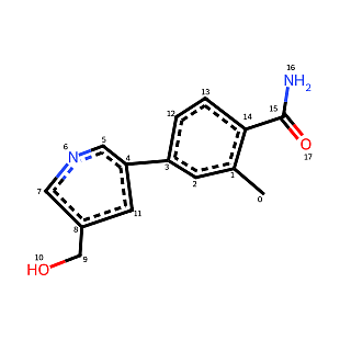 Cc1cc(-c2cncc(CO)c2)ccc1C(N)=O